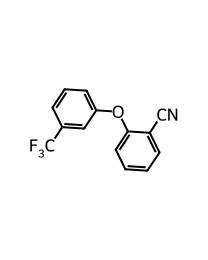 N#Cc1ccccc1Oc1cccc(C(F)(F)F)c1